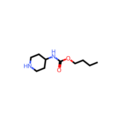 CCCCOC(=O)NC1CCNCC1